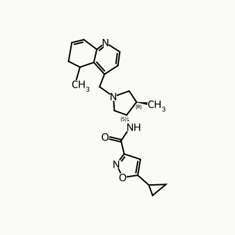 CC1CC=Cc2nccc(CN3C[C@@H](C)[C@H](NC(=O)c4cc(C5CC5)on4)C3)c21